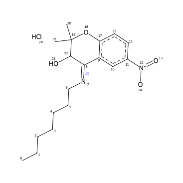 CCCCCCC/N=C1/c2cc([N+](=O)[O-])ccc2OC(C)(C)C1O.Cl